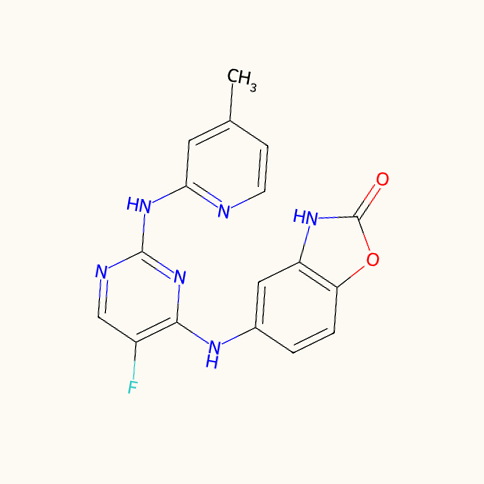 Cc1ccnc(Nc2ncc(F)c(Nc3ccc4oc(=O)[nH]c4c3)n2)c1